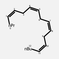 [CH2]CC/C=C\C/C=C\C/C=C\C/C=C\CCCC